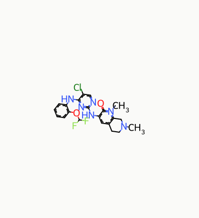 CN1CCc2cc(Nc3ncc(Cl)c(Nc4ccccc4OC(F)F)n3)c(=O)n(C)c2C1